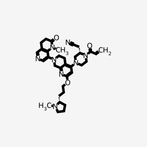 C=CC(=O)N1CCN(c2cc(OCCC[C@@H]3CCCN3C)nc3c2CCN(c2cncc4c2N(C)C(=O)CC4)C3)C[C@@H]1CC#N